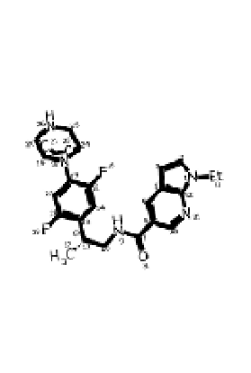 CCn1ccc2cc(C(=O)NC[C@H](C)c3cc(F)c(N4CC5CCCC4CN5)cc3F)cnc21